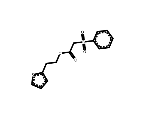 O=C(CS(=O)(=O)c1ccccc1)OCCc1cccs1